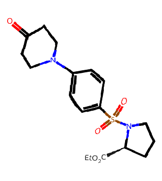 CCOC(=O)[C@@H]1CCCN1S(=O)(=O)c1ccc(N2CCC(=O)CC2)cc1